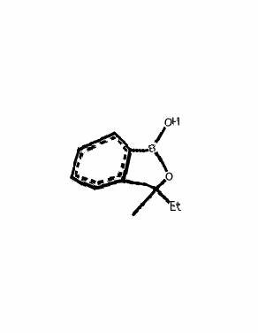 CCC1(C)OB(O)c2ccccc21